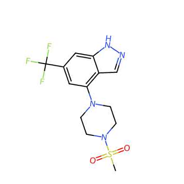 CS(=O)(=O)N1CCN(c2cc(C(F)(F)F)cc3[nH]ncc23)CC1